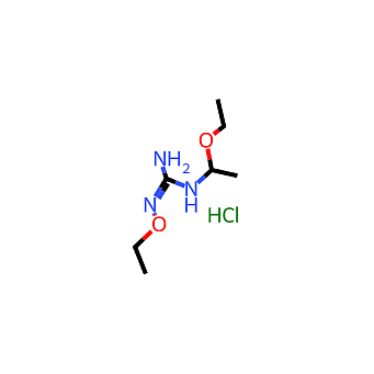 CCON=C(N)NC(C)OCC.Cl